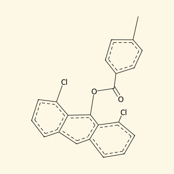 Cc1ccc(C(=O)Oc2c3c(Cl)cccc3cc3cccc(Cl)c23)cc1